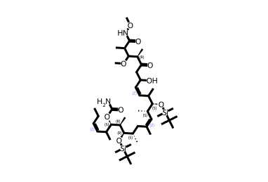 CC/C=C\C(C)[C@H](OC(N)=O)[C@@H](C)[C@H](O[Si](C)(C)C(C)(C)C)[C@@H](C)C/C(C)=C\[C@H](C)[C@@H](O[Si](C)(C)C(C)(C)C)C(C)/C=C\C(O)CC(=O)[C@H](C)C(OC)C(C)C(=O)NOC